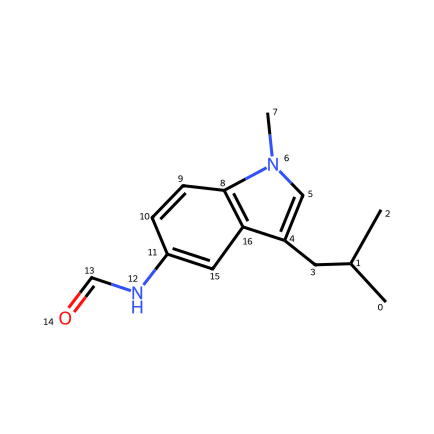 CC(C)Cc1cn(C)c2ccc(NC=O)cc12